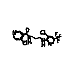 O=C(NCCCNc1ncc(C(F)(F)F)cc1Cl)c1cnccc1Cl